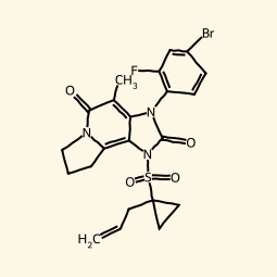 C=CCC1(S(=O)(=O)n2c(=O)n(-c3ccc(Br)cc3F)c3c(C)c(=O)n4c(c32)CCC4)CC1